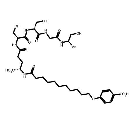 CC(=O)[C@H](CO)NC(=O)CNC(=O)[C@H](CO)NC(=O)[C@H](CO)NC(=O)CC[C@H](NC(=O)CCCCCCCCCCOc1ccc(C(=O)O)cc1)C(=O)O